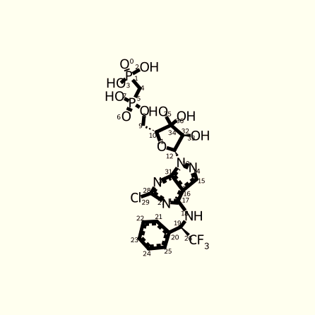 O=P(O)(O)CP(=O)(O)OC[C@H]1O[C@@H](n2ncc3c(N[C@H](c4ccccc4)C(F)(F)F)nc(Cl)nc32)[C@H](O)C1(O)O